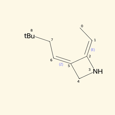 C/C=C1/NC/C1=C/CC(C)(C)C